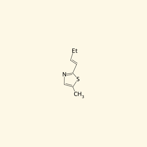 CC/C=C/c1ncc(C)s1